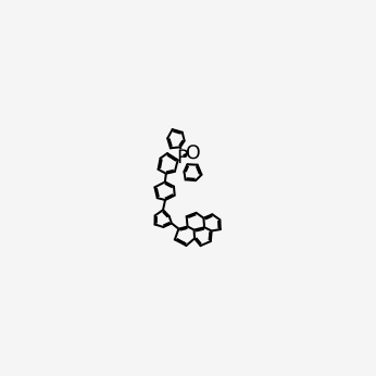 O=P(c1ccccc1)(c1ccccc1)c1cccc(-c2ccc(-c3cccc(-c4ccc5ccc6cccc7ccc4c5c67)c3)cc2)c1